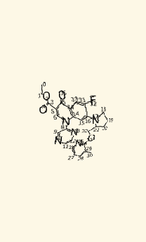 CCOC(=O)c1cn(-c2cnccn2)c2cc(N3CCCC3COc3ncccc3C)c(F)cc2c1=O